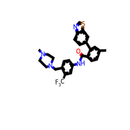 Cc1ccc(C(=O)Nc2ccc(CN3CCN(C)CC3)c(C(F)(F)F)c2)c(-c2ccc3ncsc3c2)c1